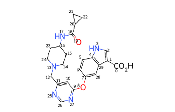 O=C(O)c1c[nH]c2ccc(Oc3cc(CN4CCC(NC(=O)C5CC5)CC4)ncn3)cc12